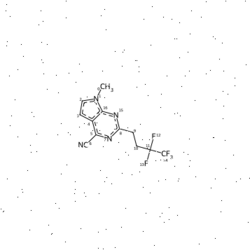 Cn1ccc2c(C#N)nc(CCC(F)(F)C(F)(F)F)nc21